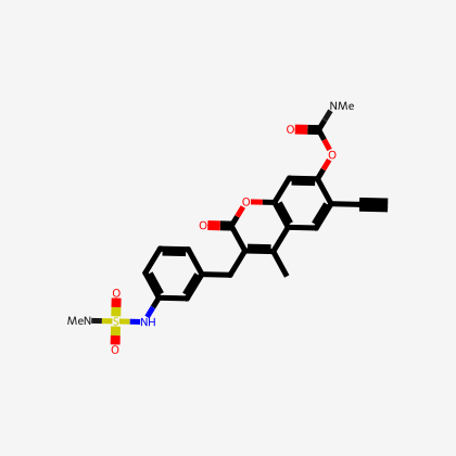 C#Cc1cc2c(C)c(Cc3cccc(NS(=O)(=O)NC)c3)c(=O)oc2cc1OC(=O)NC